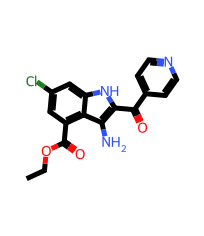 CCOC(=O)c1cc(Cl)cc2[nH]c(C(=O)c3ccncc3)c(N)c12